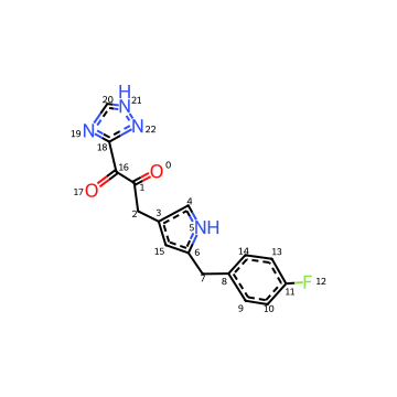 O=C(Cc1c[nH]c(Cc2ccc(F)cc2)c1)C(=O)c1nc[nH]n1